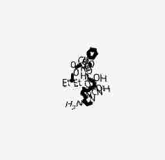 CCC(CC)COC(=O)[C@@H](C)N[P@@](=O)(OC[C@@H]1O[C@](C#N)(c2ccc3c(N)ccnn23)[C@@H](O)[C@H]1O)Oc1ccccc1